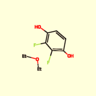 CCOCC.Oc1ccc(O)c(F)c1F